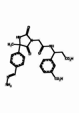 CC1(c2ccc(C=NN)cc2)NC(=O)N(CC(=O)NC(CC(=O)O)c2cccc(C(=O)O)c2)C1=O